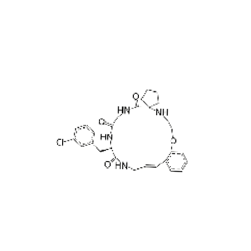 O=C1CNC(=O)C2(CCCC2)NCCOc2ccccc2/C=C/CNC(=O)[C@@H](Cc2cccc(Cl)c2)N1